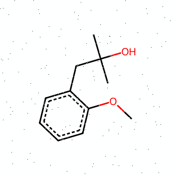 COc1ccccc1CC(C)(C)O